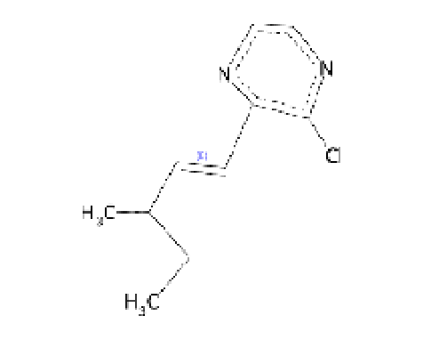 CCC(C)/C=C/c1nccnc1Cl